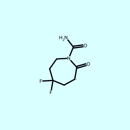 NC(=O)N1CCC(F)(F)C[CH]C1=O